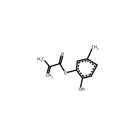 C=C(C)C(=O)Oc1cc(C)ccc1O